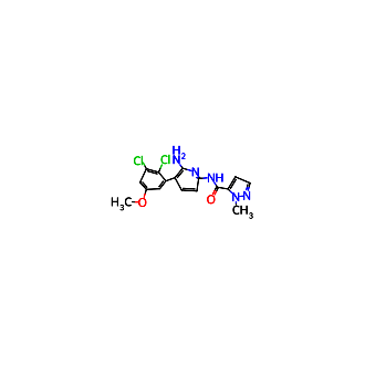 COc1cc(Cl)c(Cl)c(-c2ccc(NC(=O)c3ccnn3C)nc2N)c1